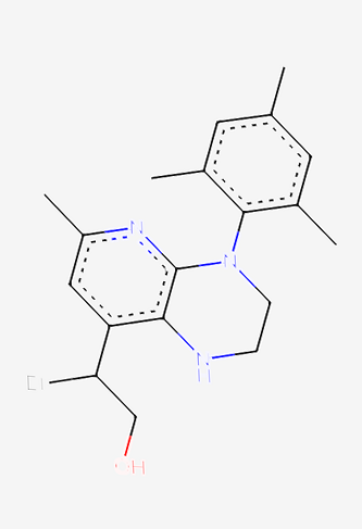 CCC(CO)c1cc(C)nc2c1NCCN2c1c(C)cc(C)cc1C